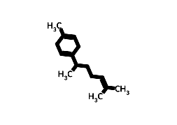 CC(C)=CCCC(C)C1=CCC(C)=CC1